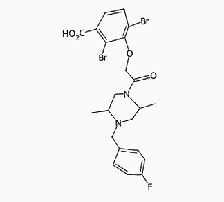 CC1CN(C(=O)COc2c(Br)ccc(C(=O)O)c2Br)C(C)CN1Cc1ccc(F)cc1